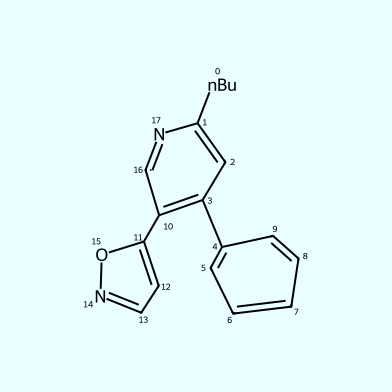 CCCCc1cc(-c2ccccc2)c(-c2ccno2)[c]n1